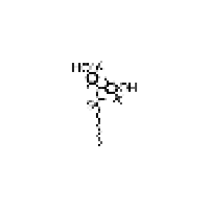 CCCCCCCCC(=S)C(C)CC(c1cc(C(C)(C)C)c(O)cc1C)c1cc(C(C)(C)C)c(O)cc1C